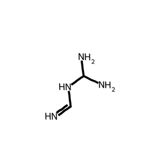 N=CNC(N)N